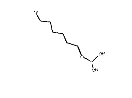 OP(O)OCCCCCCBr